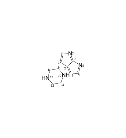 C1=CC2=CC=NC2=N1.C1CNCCN1